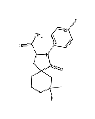 CC1(F)C[CH]CC2(CC(C(N)=O)N(c3ccc(F)cc3)C2=O)C1